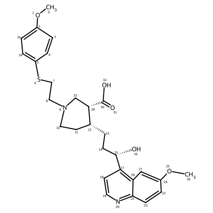 COc1ccc(SCCN2CC[C@@H](CC[C@H](O)c3ccnc4ccc(OC)cc34)[C@@H](C(=O)O)C2)cc1